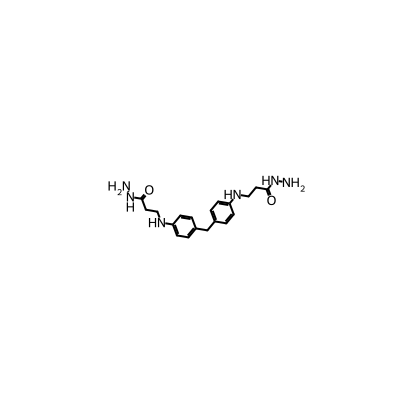 NNC(=O)CCNc1ccc(Cc2ccc(NCCC(=O)NN)cc2)cc1